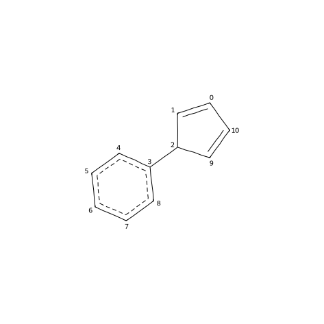 C1=CC(c2ccccc2)C=C1